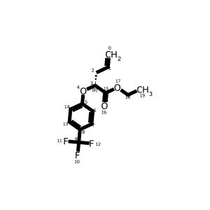 C=CC[C@@H](Oc1ccc(C(F)(F)F)cc1)C(=O)OCC